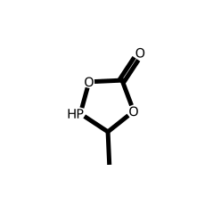 CC1OC(=O)OP1